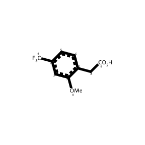 COc1cc(C(F)(F)F)ccc1CC(=O)O